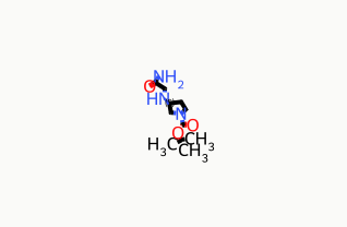 CC(C)(C)OC(=O)N1CC[C@H](NCC(N)=O)C1